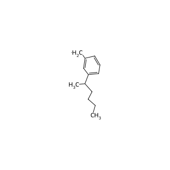 [CH2]c1cccc(C(C)CCCC)c1